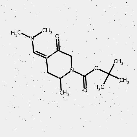 CC1CC(=CN(C)C)C(=O)CN1C(=O)OC(C)(C)C